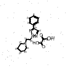 O=C(O)C(=O)O.c1ccc(-c2cnn(CCN3CCCCC3)n2)cc1